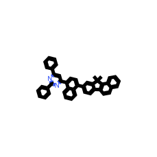 CC1(C)c2cc(-c3ccc(-c4cc(-c5ccccc5)nc(-c5ccccc5)n4)c4ccccc34)ccc2-c2ccc3ccccc3c21